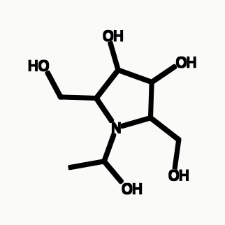 CC(O)N1C(CO)C(O)C(O)C1CO